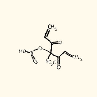 C=CC(=O)C([O][Ti](=[O])[OH])(C(=O)O)C(=O)C=C